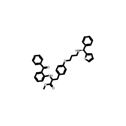 COC(=O)C(Cc1ccc(OCCCN[C@@H](c2ccccc2)c2cccs2)cc1)Nc1ccccc1C(=O)c1ccccc1